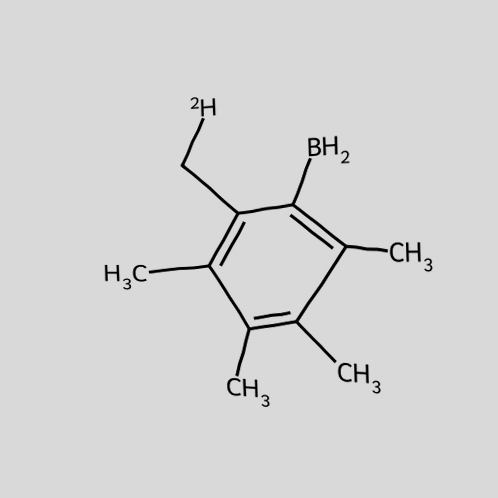 [2H]Cc1c(B)c(C)c(C)c(C)c1C